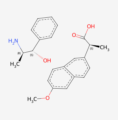 COc1ccc2cc([C@H](C)C(=O)O)ccc2c1.C[C@@H](N)[C@@H](O)c1ccccc1